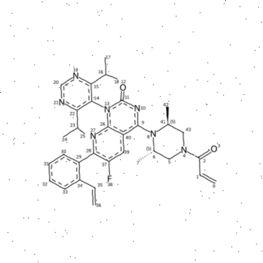 C=CC(=O)N1C[C@H](C)N(c2nc(=O)n(-c3c(C(C)C)ncnc3C(C)C)c3nc(-c4ccccc4C=C)c(F)cc23)[C@@H](C)C1